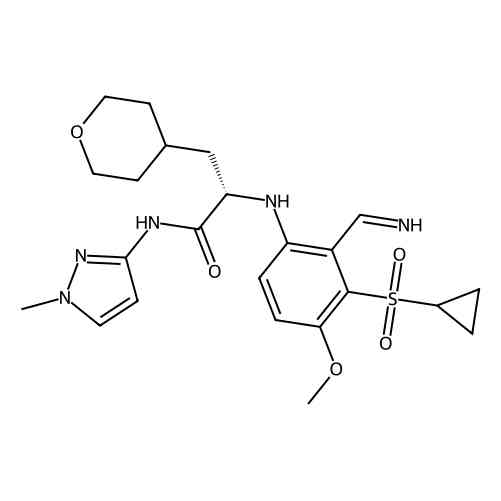 COc1ccc(N[C@@H](CC2CCOCC2)C(=O)Nc2ccn(C)n2)c(C=N)c1S(=O)(=O)C1CC1